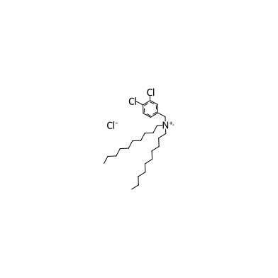 CCCCCCCCCC[N+](C)(CCCCCCCCCC)Cc1ccc(Cl)c(Cl)c1.[Cl-]